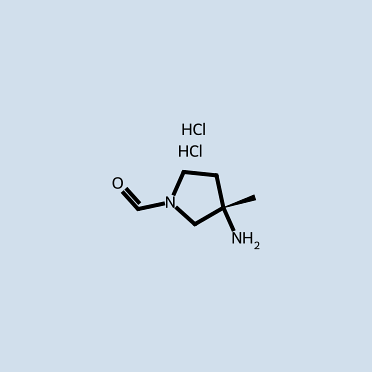 C[C@]1(N)CCN(C=O)C1.Cl.Cl